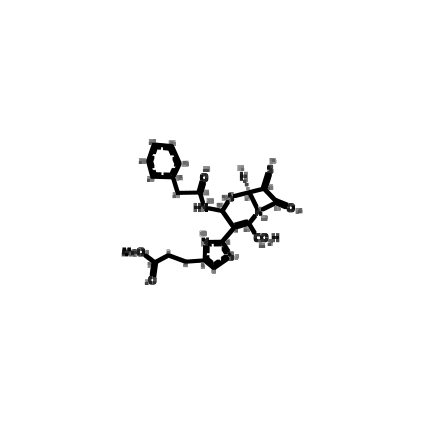 COC(=O)CCc1csc(C2=C(C(=O)O)N3C(=O)C(=S)[C@@H]3SC2NC(=O)Cc2ccccc2)n1